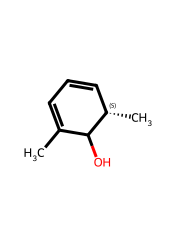 CC1=CC=C[C@H](C)C1O